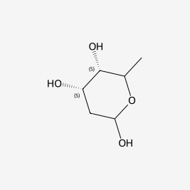 CC1OC(O)C[C@H](O)[C@@H]1O